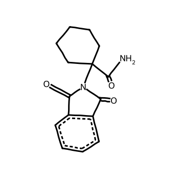 NC(=O)C1(N2C(=O)c3ccccc3C2=O)CCCCC1